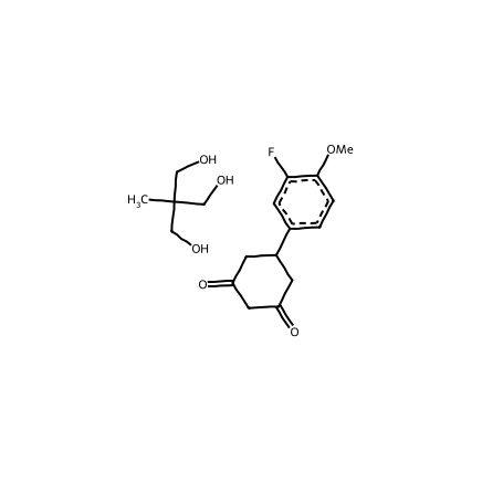 CC(CO)(CO)CO.COc1ccc(C2CC(=O)CC(=O)C2)cc1F